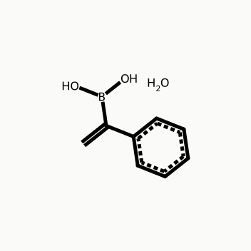 C=C(B(O)O)c1ccccc1.O